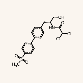 CS(=O)(=O)c1ccc(-c2ccc(C[C@@H](CO)NC(=O)C(Cl)Cl)cc2)cc1